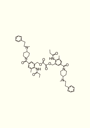 CCC(=O)Nc1c(C)cc(C(=O)N2CCC(N(C)CCc3ccccc3)CC2)cc1COC(=O)C(=O)OCc1cc(C(=O)N2CCC(N(C)CCc3ccccc3)CC2)cc(C)c1NC(=O)CC